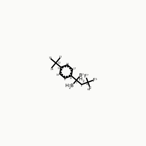 BC(B)(CC(F)(F)F)c1ccc(C(C)(C)C)cc1